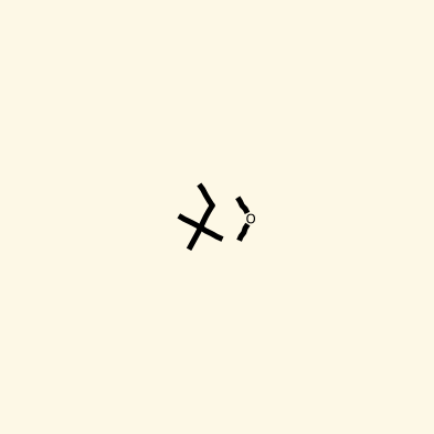 CCC(C)(C)C.COC